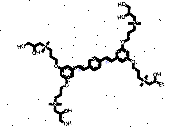 CCC(O)C[N+](C)(C)CCCOc1cc(/C=C/c2ccc(/C=C/c3cc(OCCC[N+](C)(C)CC(O)CO)cc(OCCC[N+](C)(C)CC(O)CO)c3)cc2)cc(OCCC[N+](C)(C)CC(O)CO)c1